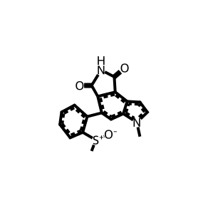 Cn1ccc2c3c(c(-c4ccccc4[S+](C)[O-])cc21)C(=O)NC3=O